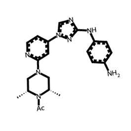 CC(=O)N1[C@H](C)CN(c2cc(-n3cnc(Nc4ccc(N)cc4)n3)ccn2)C[C@@H]1C